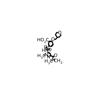 CN(C)C(=O)c1cc(NS(=O)(=O)c2ccc(OCC3CCOCC3)c(C(=O)O)c2)n(C)n1